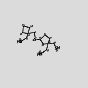 SCC1(CSC2CCC(CS)(CS)C2)CCC1